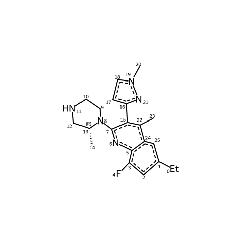 CCc1cc(F)c2nc(N3CCNC[C@H]3C)c(-c3ccn(C)n3)c(C)c2c1